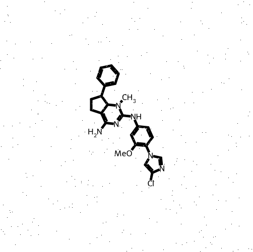 COc1cc(NC2=NC(N)=C3CCC(c4ccccc4)C3N2C)ccc1-n1cnc(Cl)c1